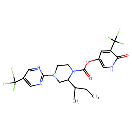 CCC(C)C1CN(c2ncc(C(F)(F)F)cn2)CCN1C(=O)Oc1c[nH]c(=O)c(C(F)(F)F)c1